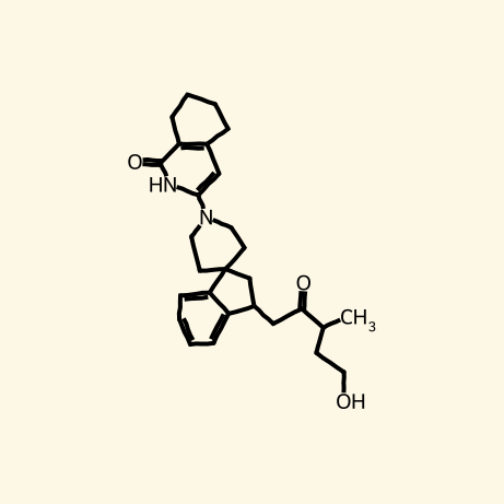 CC(CCO)C(=O)CC1CC2(CCN(c3cc4c(c(=O)[nH]3)CCCC4)CC2)c2ccccc21